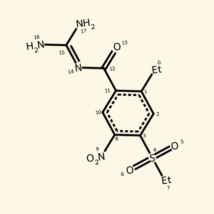 CCc1cc(S(=O)(=O)CC)c([N+](=O)[O-])cc1C(=O)N=C(N)N